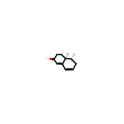 C[C@@H]1CC=CC2=CC(=O)CC[C@]21C